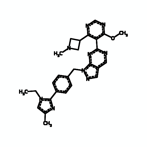 CCn1cc(C)nc1-c1ccc(Cn2ncc3cnc(-c4c(OC)ncnc4C4CN(C)C4)nc32)cc1